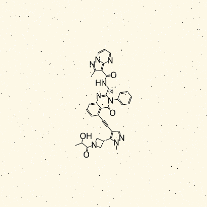 Cc1nn2cccnc2c1C(=O)N[C@H](C)c1nc2cccc(C#Cc3cnn(C)c3C3CN(C(=O)C(C)O)C3)c2c(=O)n1-c1ccccc1